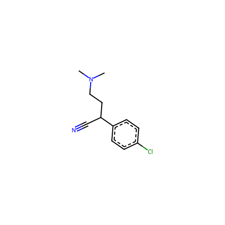 CN(C)CCC(C#N)c1ccc(Cl)cc1